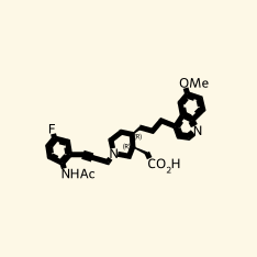 COc1ccc2nccc(CCC[C@@H]3CCN(CC#Cc4cc(F)ccc4NC(C)=O)C[C@@H]3CC(=O)O)c2c1